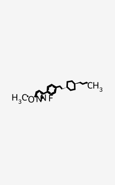 CCCC[C@H]1CC[C@H](CCc2ccc(-c3ccc(OCC)nn3)c(F)c2)CC1